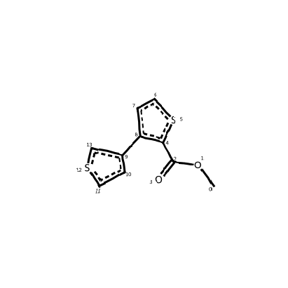 COC(=O)c1sccc1-c1ccsc1